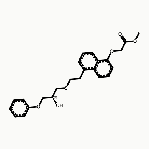 COC(=O)COc1cccc2c(CCSC[C@@H](O)COc3ccccc3)cccc12